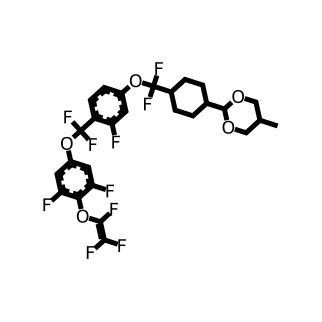 CC1COC(C2CCC(C(F)(F)Oc3ccc(C(F)(F)Oc4cc(F)c(OC(F)=C(F)F)c(F)c4)c(F)c3)CC2)OC1